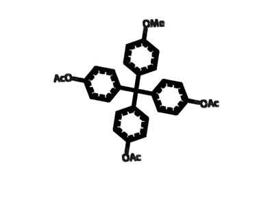 COc1ccc(C(c2ccc(OC(C)=O)cc2)(c2ccc(OC(C)=O)cc2)c2ccc(OC(C)=O)cc2)cc1